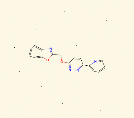 c1ccc(-c2ccc(OCc3nc4ccccc4o3)nn2)nc1